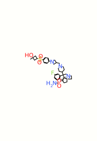 CC1(O)CC(S(=O)(=O)c2ccc(N3CC(CN4CCC(C(CN5CCC5)(c5cccc(F)c5)[C@H]5CCC[C@@H]5OC(N)=O)CC4)C3)cc2)C1